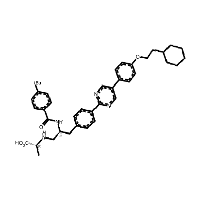 C[C@@H](NC[C@H](Cc1ccc(-c2ncc(-c3ccc(OCCC4CCCCC4)cc3)cn2)cc1)NC(=O)c1ccc(C(C)(C)C)cc1)C(=O)O